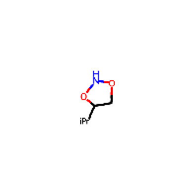 CC(C)C1CONO1